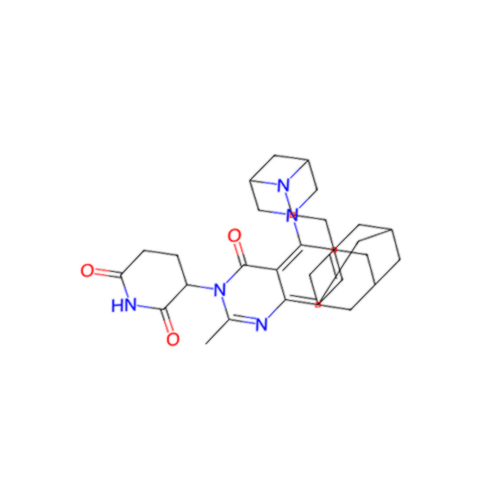 Cc1nc2cccc(N3CC4CC(C3)N4CCC34CC5CC(CC(C5)C3)C4)c2c(=O)n1C1CCC(=O)NC1=O